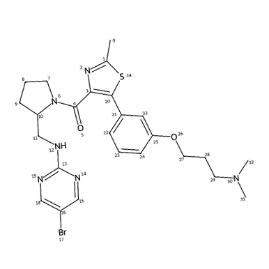 Cc1nc(C(=O)N2CCCC2CNc2ncc(Br)cn2)c(-c2cccc(OCCCN(C)C)c2)s1